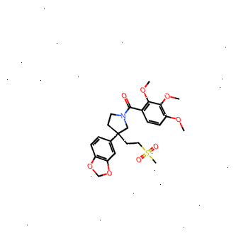 COc1ccc(C(=O)N2CCC(CCS(C)(=O)=O)(c3ccc4c(c3)OCO4)C2)c(OC)c1OC